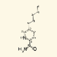 CCCCCc1ccc(C(N)=O)nc1